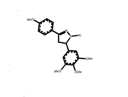 COc1ccc(C2=NN(C(C)=O)C(c3cc(OC)c(OC)c(OC)c3)C2)cc1